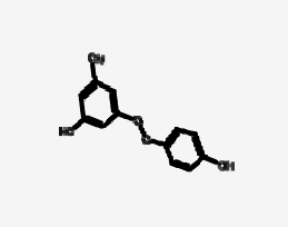 Oc1ccc(OOc2cc(O)cc(O)c2)cc1